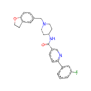 O=C(NC1CCN(Cc2ccc3c(c2)CCO3)CC1)c1ccc(-c2cccc(F)c2)nc1